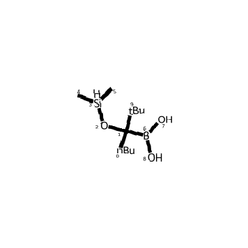 CCCCC(O[SiH](C)C)(B(O)O)C(C)(C)C